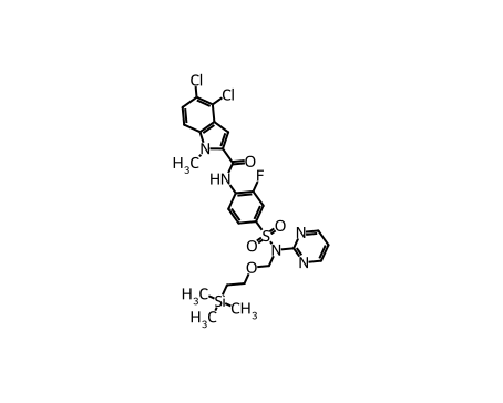 Cn1c(C(=O)Nc2ccc(S(=O)(=O)N(COCC[Si](C)(C)C)c3ncccn3)cc2F)cc2c(Cl)c(Cl)ccc21